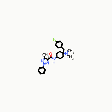 Cc1nn(-c2ccccc2)nc1C(=O)NC1CCC(Cc2ccc(F)cc2)(N(C)C)CC1